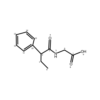 CCC(C(=O)NCC(=O)O)c1ccccc1